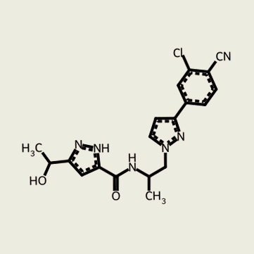 CC(Cn1ccc(-c2ccc(C#N)c(Cl)c2)n1)NC(=O)c1cc(C(C)O)n[nH]1